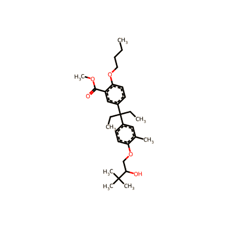 CCCCOc1ccc(C(CC)(CC)c2ccc(OCC(O)C(C)(C)C)c(C)c2)cc1C(=O)OC